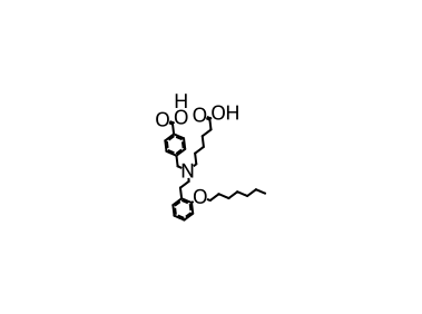 CCCCCCCOc1ccccc1CCN(CCCCCC(=O)O)Cc1ccc(C(=O)O)cc1